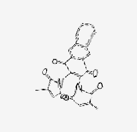 CC1=CC(=O)N(C2=C(N3C(=O)C=C(C)C3=O)C(=O)c3cc4ccccc4cc3C2=O)C1=O